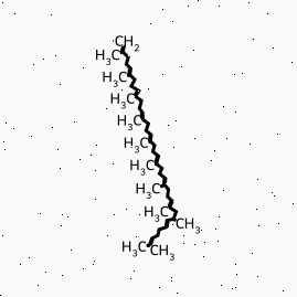 [CH2]/C=C(\C)CC/C=C(\C)CC/C=C(\C)CC/C=C(\C)CC/C=C(\C)CC/C=C(\C)CC/C=C(\C)CC/C=C(\C)CC(C)/C=C/CCC=C(C)C